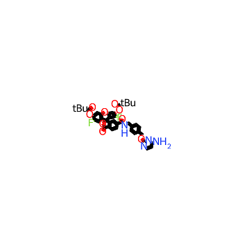 CC(C)(C)C(=O)Oc1cc2c(cc1F)C1(OC(=O)c3ccc(C(=O)NCc4ccc(COc5nccc(N)n5)cc4)cc31)c1cc(F)c(OC(=O)C(C)(C)C)cc1O2